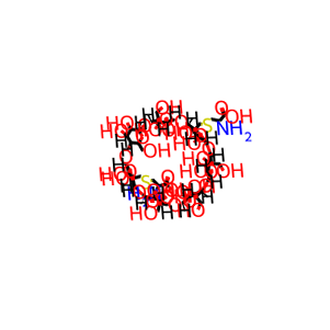 NC(CSCC1O[C@@H]2O[C@@H]3C(CO)O[C@@H](O[C@@H]4C(CO)O[C@@H](O[C@@H]5C(CSCC(N)C(=O)O)O[C@@H](O[C@@H]6C(CO)O[C@H](O[C@@H]7C(CO)O[C@H](O[C@@H]8C(CO)O[C@@H](O[C@H]1[C@H](O)C2O)C(O)[C@H]8O)C(O)[C@H]7O)C(O)[C@H]6O)C(O)[C@H]5O)C(O)[C@H]4O)C(O)[C@H]3O)C(=O)O